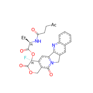 CC[C@@H](NC(=O)CCC(C)=O)C(=O)O[C@]1(F)C(=O)OCc2c1cc1n(c2=O)Cc2cc3ccccc3nc2-1